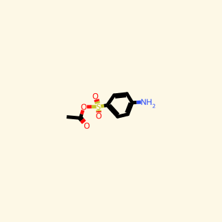 CC(=O)OS(=O)(=O)c1ccc(N)cc1